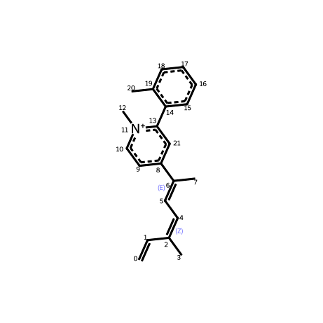 C=C/C(C)=C\C=C(/C)c1cc[n+](C)c(-c2ccccc2C)c1